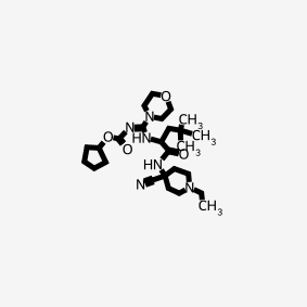 CCN1CCC(C#N)(NC(=O)C(CC(C)(C)C)N/C(=N\C(=O)OC2CCCC2)N2CCOCC2)CC1